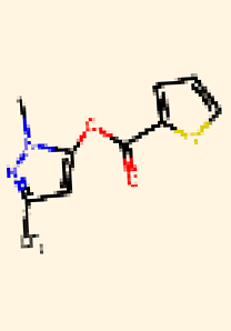 Cn1nc(C(F)(F)F)cc1OC(=O)c1cccs1